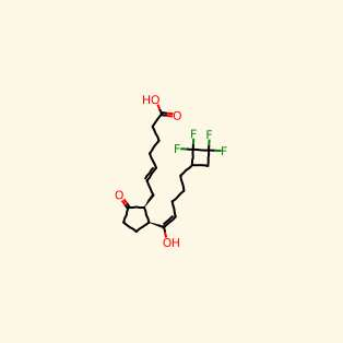 O=C(O)CCCC=CC[C@@H]1C(=O)CC[C@@H]1/C(O)=C\CCCC1CC(F)(F)C1(F)F